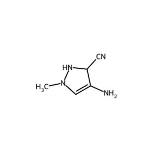 CN1C=C(N)C(C#N)N1